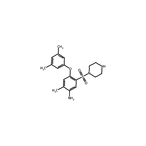 Cc1cc(C)cc(Oc2cc(C)c(N)cc2S(=O)(=O)N2CCNCC2)c1